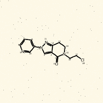 O=C1c2cn(-c3cccnc3)nc2CCN1CCCl